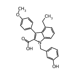 CCc1cccc2c1c(-c1ccc(OC)cc1)c(C(=O)O)n2Cc1cccc(O)c1